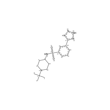 CC(C)(C)N1CCC(NS(=O)(=O)c2cccc(-c3nn[nH]n3)c2)CC1